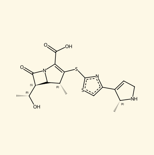 C[C@H]1NCC=C1c1csc(SC2=C(C(=O)O)N3C(=O)[C@H]([C@@H](C)O)C3[C@H]2C)n1